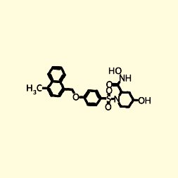 Cc1ccc(COc2ccc(S(=O)(=O)N3CCC(O)CC3C(=O)NO)cc2)c2ccccc12